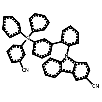 N#Cc1cccc([Si](c2ccccc2)(c2ccccc2)c2cccc(-c3ccccc3-n3c4ccccc4c4cc(C#N)ccc43)c2)c1